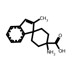 CC1=Cc2ccccc2C12CCC(N)(C(=O)O)CC2